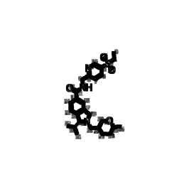 CCS(=O)(=O)c1ccc(CNC(=O)c2ccc3c(c2)CN(CC2CCC(C)OC2)[C@H]3C(C)C)nc1